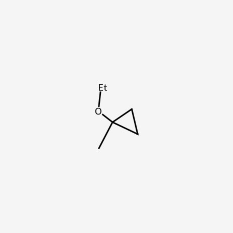 CCOC1(C)CC1